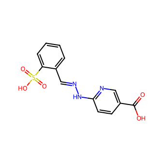 O=C(O)c1ccc(N/N=C/c2ccccc2S(=O)(=O)O)nc1